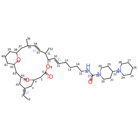 C/C=C1\CC2CC(=O)OC(/C=C/CCCCNC(=O)N3CCC(N4CCCCC4)CC3)C(C)/C=C/C(C)CC3CCCC(CC(C1)O2)O3